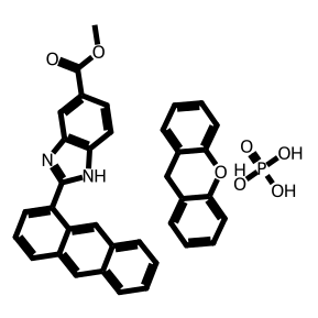 COC(=O)c1ccc2[nH]c(-c3cccc4cc5ccccc5cc34)nc2c1.O=P(O)(O)O.c1ccc2c(c1)Cc1ccccc1O2